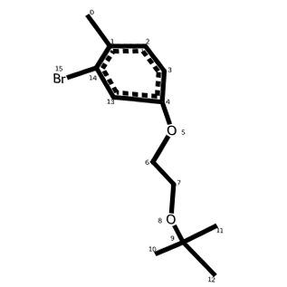 Cc1ccc(OCCOC(C)(C)C)cc1Br